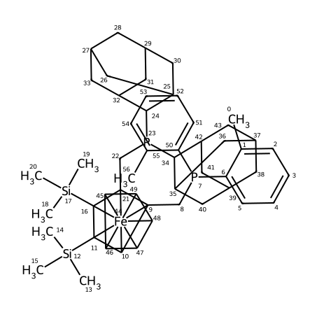 Cc1ccccc1P(C[C]12[CH]3[C]4([Si](C)(C)C)[C]5([Si](C)(C)C)[C]1(CP(C1C6CC7CC(C6)CC1C7)C1C6CC7CC(C6)CC1C7)[Fe]32451678[CH]2[CH]1[CH]6[CH]7[CH]28)c1ccccc1C